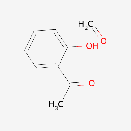 C=O.CC(=O)c1ccccc1O